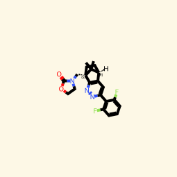 CC1(C)[C@H]2CC[C@]1(CN1CCOC1=O)c1nnc(-c3c(F)cccc3F)cc12